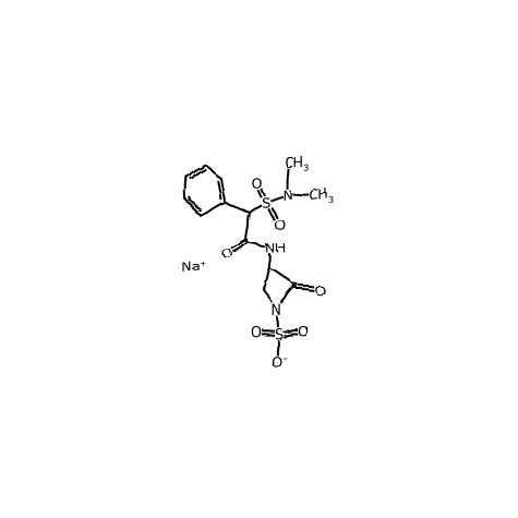 CN(C)S(=O)(=O)C(C(=O)NC1CN(S(=O)(=O)[O-])C1=O)c1ccccc1.[Na+]